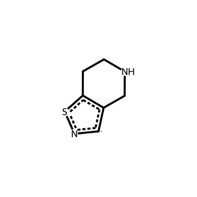 [c]1nsc2c1CNCC2